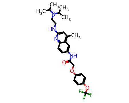 Cc1cc(NCCN(C(C)C)C(C)C)nc2ccc(NC(=O)COc3ccc(OC(F)(F)F)cc3)cc12